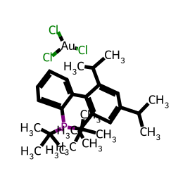 CC(C)c1cc(C(C)C)c(-c2ccccc2P(C(C)(C)C)C(C)(C)C)c(C(C)C)c1.[Cl][Au]([Cl])[Cl]